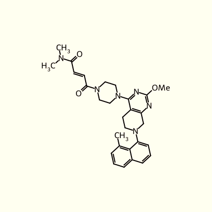 COc1nc2c(c(N3CCN(C(=O)/C=C/C(=O)N(C)C)CC3)n1)CCN(c1cccc3cccc(C)c13)C2